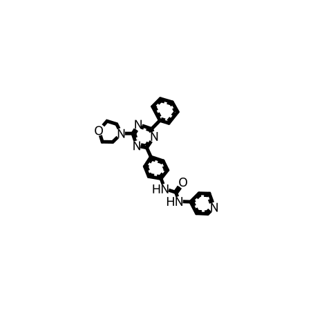 O=C(Nc1ccncc1)Nc1ccc(-c2nc(-c3ccccc3)nc(N3CCOCC3)n2)cc1